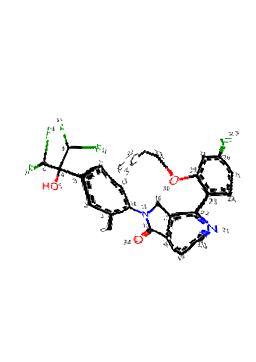 Cc1cc(C(O)(C(F)F)C(F)F)ccc1N1Cc2c(ccnc2-c2ccc(F)cc2OCC(F)(F)F)C1=O